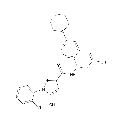 O=C(O)CC(NC(=O)c1cc(O)n(-c2ccccc2Cl)n1)c1ccc(N2CCOCC2)cc1